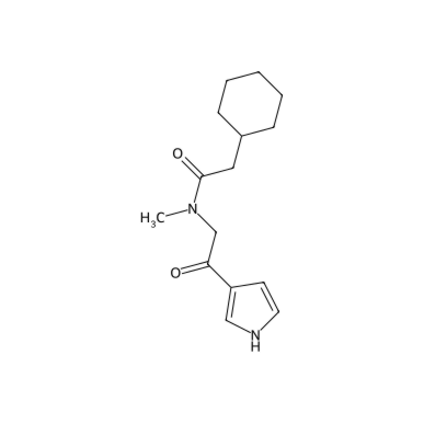 CN(CC(=O)c1cc[nH]c1)C(=O)CC1CCCCC1